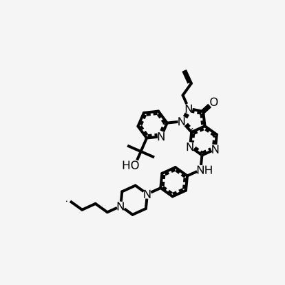 [CH2]CCCN1CCN(c2ccc(Nc3ncc4c(=O)n(CC=C)n(-c5cccc(C(C)(C)O)n5)c4n3)cc2)CC1